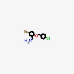 NCc1cc(Br)ccc1OCc1ccc(Cl)cc1